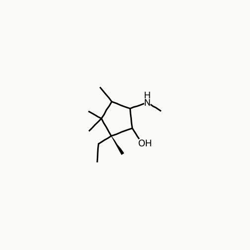 CC[C@@]1(C)C(O)C(NC)C(C)C1(C)C